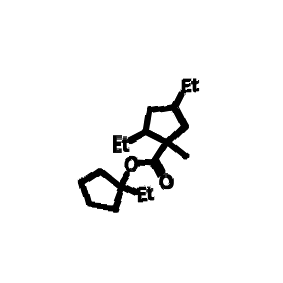 CCC1CC(CC)C(C)(C(=O)OC2(CC)CCCC2)C1